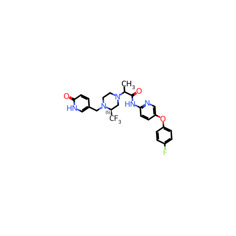 CC(C(=O)Nc1ccc(Oc2ccc(F)cc2)cn1)N1CCN(Cc2ccc(=O)[nH]c2)[C@H](C(F)(F)F)C1